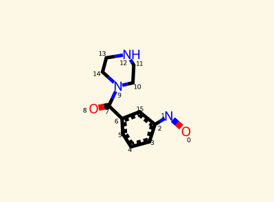 O=Nc1cccc(C(=O)N2CCNCC2)c1